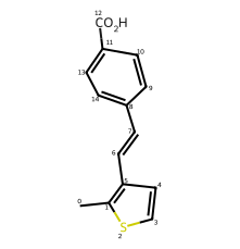 Cc1sccc1C=Cc1ccc(C(=O)O)cc1